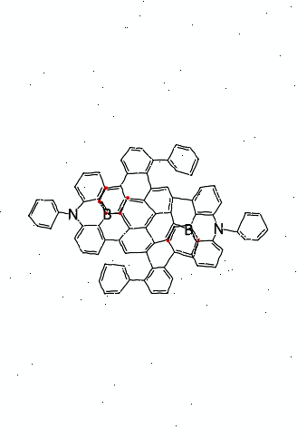 c1ccc(-c2cccc(-c3ccccc3)c2-c2cc3c4c(cc5c(-c6c(-c7ccccc7)cccc6-c6ccccc6)cc6c7c(cc2c4c57)B2c4ccccc4N(c4ccccc4)c4cccc-6c42)B2c4ccccc4N(c4ccccc4)c4cccc-3c42)cc1